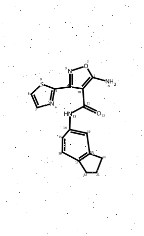 Nc1onc(-c2nccs2)c1C(=O)Nc1ccc2c(c1)CCC2